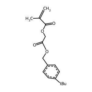 C=C(C)C(=O)OCC(=O)OCc1ccc(C(C)(C)C)cc1